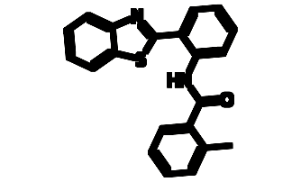 Cc1ccccc1C(=O)Nc1ccccc1-c1nc2ccccc2s1